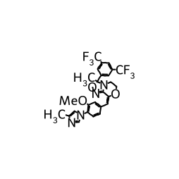 COc1cc(/C=C2/OCCN3C2=NOC3(C)c2cc(C(F)(F)F)cc(C(F)(F)F)c2)ccc1-n1cnc(C)c1